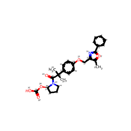 Cc1oc(-c2ccccc2)nc1COc1ccc(C(C)(C)C(=O)N2CCC[C@H]2OC(=O)O)cc1